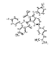 CC(C)Oc1ccc(-c2ccc3c(c2)c(N(CCc2ccc(F)cc2)C(=O)c2ccc(Cl)nc2)c(C(=O)O)n3Cc2cccc(Cl)c2)cc1